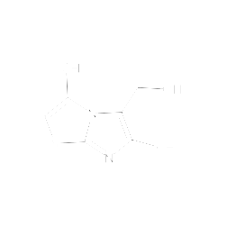 Cc1nc2scc(C)n2c1CO